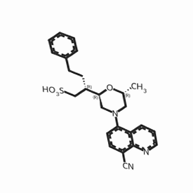 C[C@@H]1CN(c2ccc(C#N)c3ncccc23)C[C@@H]([C@@H](CCc2ccccc2)CS(=O)(=O)O)O1